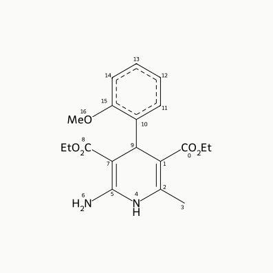 CCOC(=O)C1=C(C)NC(N)=C(C(=O)OCC)C1c1ccccc1OC